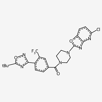 CC(C)(C)c1nc(-c2ccc(C(=O)N3CCN(c4nc5nc(Cl)ccc5o4)CC3)cc2C(F)(F)F)no1